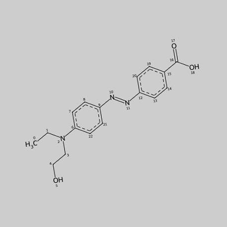 CCN(CCO)c1ccc(N=Nc2ccc(C(=O)O)cc2)cc1